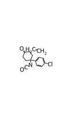 C=C.O=C=NC1(c2ccc(Cl)cc2)CCC(=O)CC1